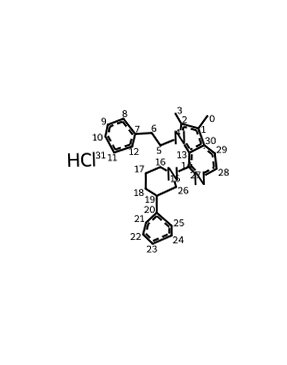 Cc1c(C)n(CCc2ccccc2)c2c(N3CCCC(c4ccccc4)C3)nccc12.Cl